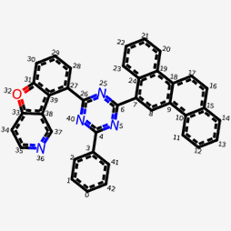 c1ccc(-c2nc(-c3cc4c5ccccc5ccc4c4ccccc34)nc(-c3cccc4oc5ccncc5c34)n2)cc1